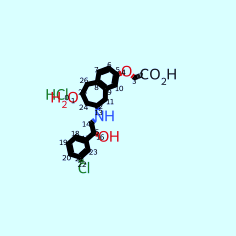 Cl.O.O=C(O)COc1ccc2c(c1)CC(NCC(O)c1cccc(Cl)c1)CCC2